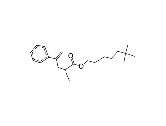 C=C(CC(C)C(=O)OCCCCCC(C)(C)C)c1ccccc1